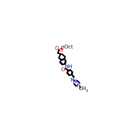 CCCCCCCCOC(=O)CC1CCc2cc(NC(=O)c3ccc(C=NN4CCN(C)CC4)cc3)ccc2C1